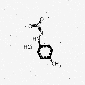 Cc1ccc(NN=S(=O)=O)cc1.Cl